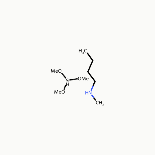 CCCCNC.CO[SiH](OC)OC